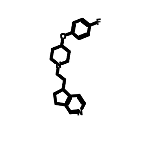 Fc1ccc(OC2CCN(CCC3CCc4cnccc43)CC2)cc1